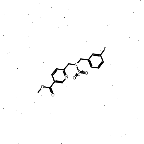 COC(=O)c1ccc(CN(Cc2cccc(F)c2)[SH](=O)=O)nc1